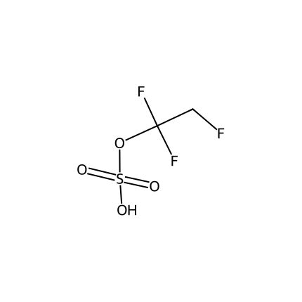 O=S(=O)(O)OC(F)(F)CF